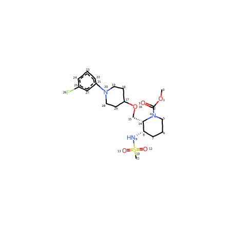 COC(=O)N1CCC[C@H](NS(C)(=O)=O)[C@@H]1COC1CCN(c2cccc(F)c2)CC1